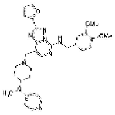 COc1ccc(CNc2ncc(CN3CCC(N(C)c4ccncc4)CC3)c3nc(-c4ccco4)nn23)cc1OC